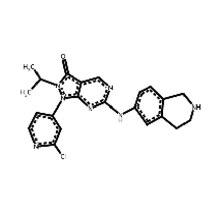 CC(C)n1c(=O)c2cnc(Nc3ccc4c(c3)CCNC4)nc2n1-c1ccnc(Cl)c1